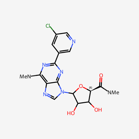 CNC(=O)[C@@H]1OC(n2cnc3c(NC)nc(-c4cncc(Cl)c4)nc32)C(O)C1O